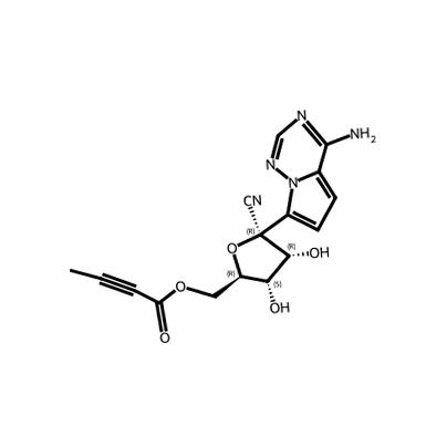 CC#CC(=O)OC[C@H]1O[C@@](C#N)(c2ccc3c(N)ncnn23)[C@H](O)[C@@H]1O